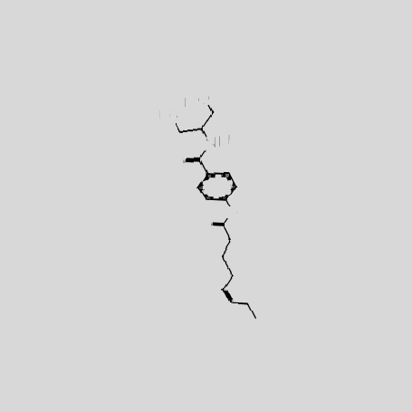 CC/C=C\CCCC(=O)Oc1ccc(C(=O)NC(CO)CO)cc1